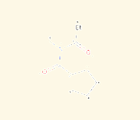 CCC(=O)N(C)C(=O)C1CCCC1